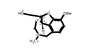 COc1ccc2c3c1O[C@]1(CCN(C)C2)CC(O)C=C[C@@H]31